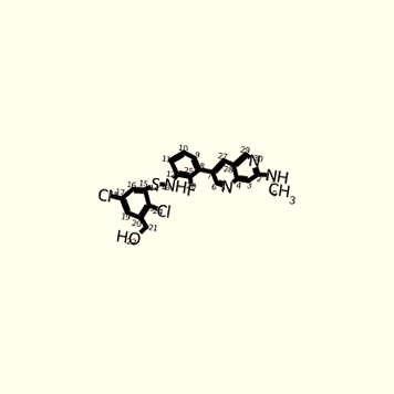 CNc1cc2ncc(-c3cccc(NSc4cc(Cl)cc(CO)c4Cl)c3F)cc2cn1